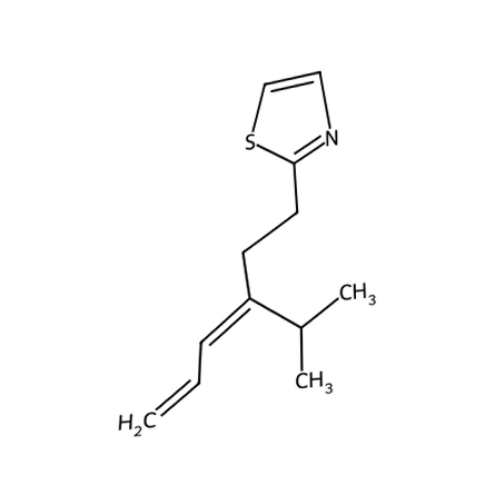 C=C/C=C(/CCc1nccs1)C(C)C